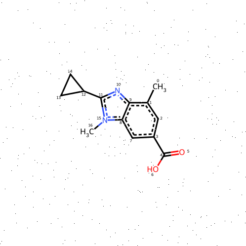 Cc1cc(C(=O)O)cc2c1nc(C1CC1)n2C